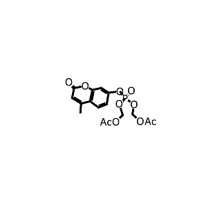 CC(=O)OCOP(=O)(OCOC(C)=O)Oc1ccc2c(C)cc(=O)oc2c1